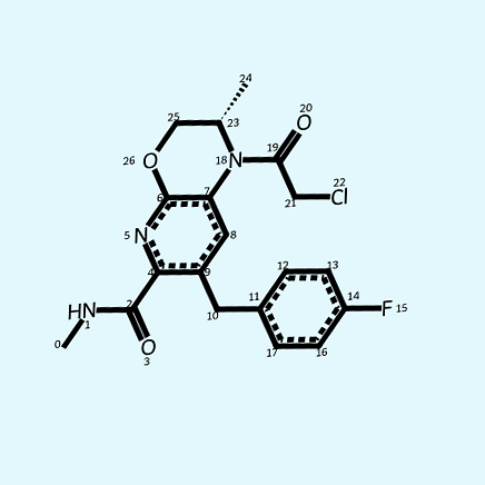 CNC(=O)c1nc2c(cc1Cc1ccc(F)cc1)N(C(=O)CCl)[C@@H](C)CO2